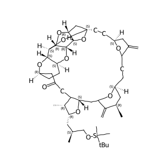 C=C1C[C@@H]2CC[C@@]34C[C@H]5O[C@H]6[C@@H](O3)[C@H]3O[C@H](CC[C@@H]3O[C@H]6[C@H]5O4)CC(=O)CC3[C@H](CC4O[C@@H](CCC1O2)C[C@@H](C)C4=C)O[C@H](C[C@H](C)CO[Si](C)(C)C(C)(C)C)[C@@H]3C